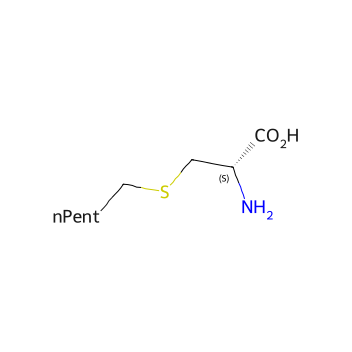 CCCCCCSC[C@@H](N)C(=O)O